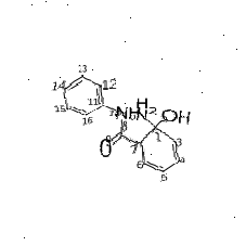 NC1(O)C=CC=CC1C(=O)Nc1ccccc1